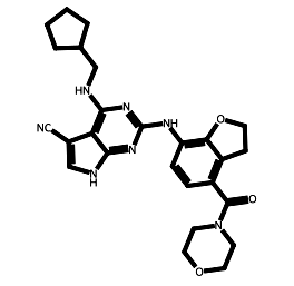 N#Cc1c[nH]c2nc(Nc3ccc(C(=O)N4CCOCC4)c4c3OCC4)nc(NCC3CCCC3)c12